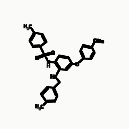 COc1ccc(Oc2ccc(NS(=O)(=O)c3ccc(C)cc3)c(NCc3ccc(C)cc3)c2)cc1